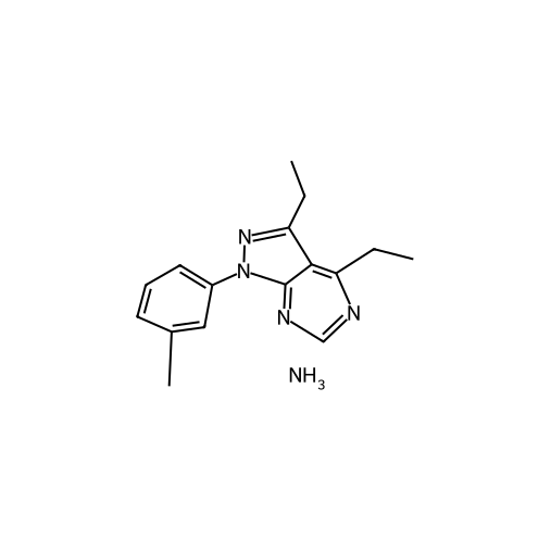 CCc1ncnc2c1c(CC)nn2-c1cccc(C)c1.N